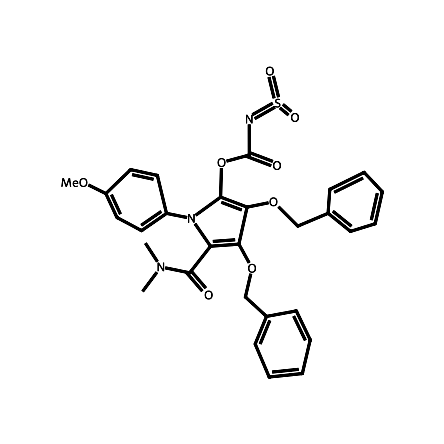 COc1ccc(-n2c(OC(=O)N=S(=O)=O)c(OCc3ccccc3)c(OCc3ccccc3)c2C(=O)N(C)C)cc1